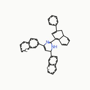 C1=CC2=C(C3=NC(c4ccc5ccccc5c4)=CC(c4ccc5ccccc5c4)N3)C=C(c3ccccc3)CC2C=C1